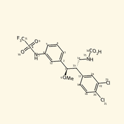 CO[C@@H](c1cccc(NS(=O)(=O)C(F)(F)F)c1)[C@H](CNC(=O)O)c1ccc(Cl)c(Cl)c1